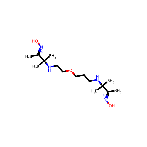 B/C(=N\O)C(B)(B)NCCCOCCNC(B)(B)/C(B)=N/O